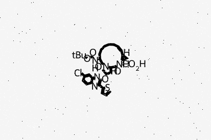 CC(C)(C)OC(=O)N[C@H]1CCCCC/C=C\[C@@H]2C[C@@]2(C(=O)O)NC(=O)[C@@H]2CC(Oc3nc4cc(Cl)ccc4nc3-c3cccs3)CN2C1=O